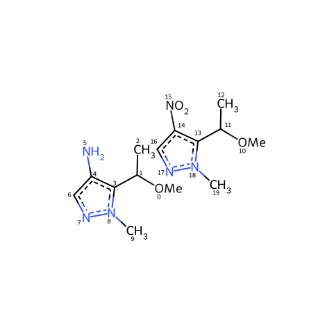 COC(C)c1c(N)cnn1C.COC(C)c1c([N+](=O)[O-])cnn1C